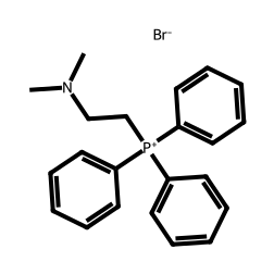 CN(C)CC[P+](c1ccccc1)(c1ccccc1)c1ccccc1.[Br-]